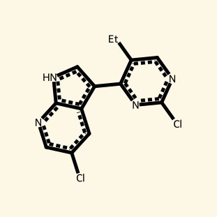 CCc1cnc(Cl)nc1-c1c[nH]c2ncc(Cl)cc12